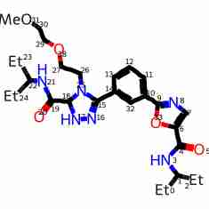 CCC(CC)NC(=O)c1cnc(-c2cccc(C3=NNC(C(=O)NC(CC)CC)N3CCOCCOC)c2)o1